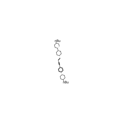 CCCC[C@H]1CC[C@H](c2ccc(C#CC=C[C@H]3CC[C@H]([C@H]4CC[C@H](CCCC)CC4)CC3)cc2)CC1